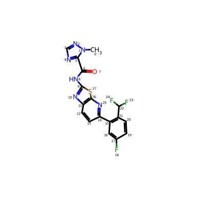 Cn1ncnc1C(=O)Nc1nc2ccc(-c3cc(F)ccc3C(F)F)nc2s1